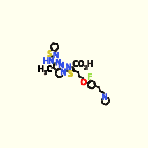 Cc1c(Nc2nc3ccccc3s2)nnc2c1CCCN2c1nc(C(=O)O)c(CCCOc2ccc(CCCN3CCCCC3)cc2F)s1